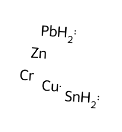 [Cr].[Cu].[PbH2].[SnH2].[Zn]